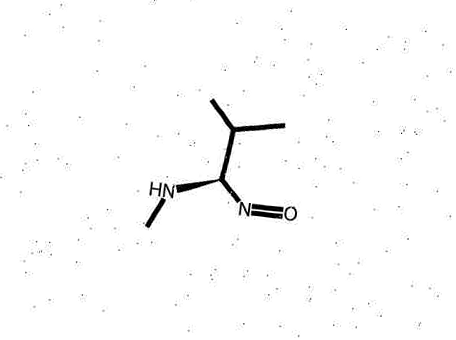 CN[C@H](N=O)C(C)C